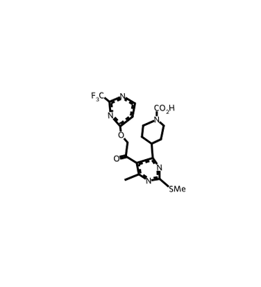 CSc1nc(C)c(C(=O)COc2ccnc(C(F)(F)F)n2)c(C2CCN(C(=O)O)CC2)n1